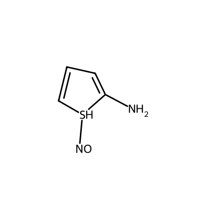 NC1=CC=C[SH]1N=O